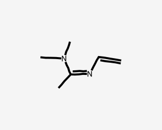 C=C/N=C(/C)N(C)C